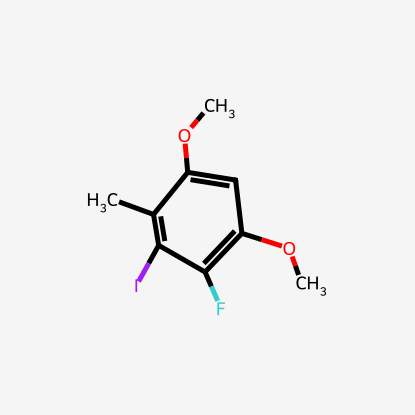 COc1cc(OC)c(F)c(I)c1C